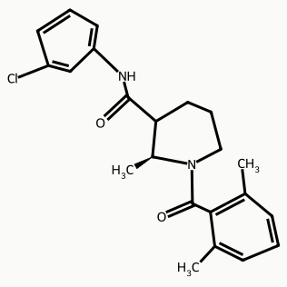 Cc1cccc(C)c1C(=O)N1CCCC(C(=O)Nc2cccc(Cl)c2)[C@@H]1C